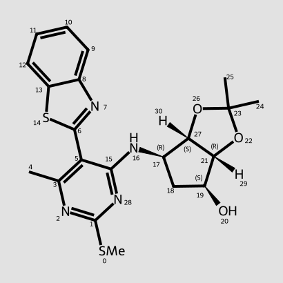 CSc1nc(C)c(-c2nc3ccccc3s2)c(N[C@@H]2C[C@H](O)[C@H]3OC(C)(C)O[C@H]32)n1